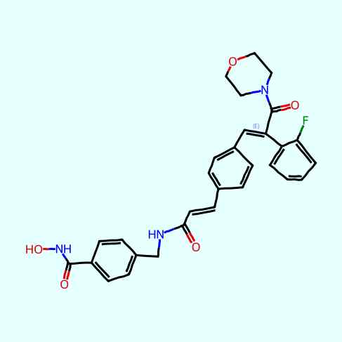 O=C(C=Cc1ccc(/C=C(/C(=O)N2CCOCC2)c2ccccc2F)cc1)NCc1ccc(C(=O)NO)cc1